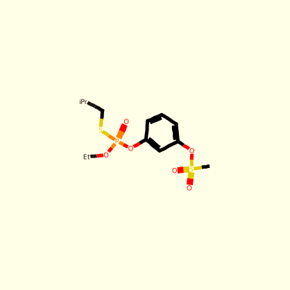 CCOP(=O)(Oc1cccc(OS(C)(=O)=O)c1)SCC(C)C